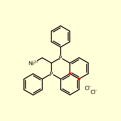 [Cl-].[Cl-].[Ni+2][CH2]C(P(c1ccccc1)c1ccccc1)P(c1ccccc1)c1ccccc1